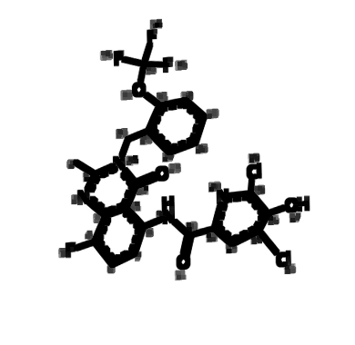 Cc1nc2c(F)ccc(NC(=O)c3cc(Cl)c(O)c(Cl)n3)c2c(=O)n1Cc1ccccc1OC(F)(F)F